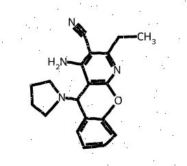 CCc1nc2c(c(N)c1C#N)C(N1CCCC1)c1ccccc1O2